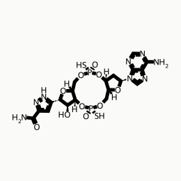 NC(=O)c1cc([C@@H]2O[C@@H]3COP(=O)(S)O[C@H]4C[C@H](n5cnc6c(N)ncnc65)O[C@@H]4COP(=O)(S)O[C@H]3[C@H]2O)[nH]n1